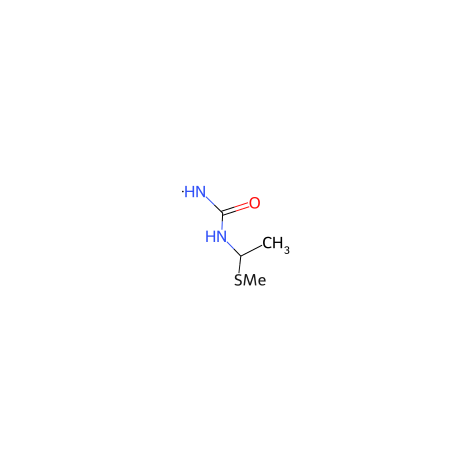 CSC(C)NC([NH])=O